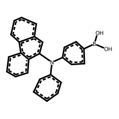 OB(O)c1ccc(N(c2ccccc2)c2cc3ccccc3c3ccccc23)cc1